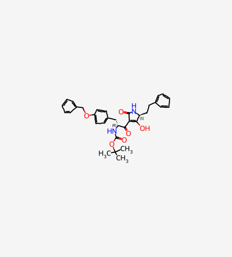 CC(C)(C)OC(=O)N[C@H](Cc1ccc(OCc2ccccc2)cc1)C(=O)C1=C(O)[C@H](CCc2ccccc2)NC1=O